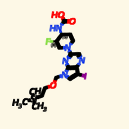 C[Si](C)(C)CCOCn1cc(I)c2ncc(N3CC[C@H](NC(=O)O)[C@H](F)C3)nc21